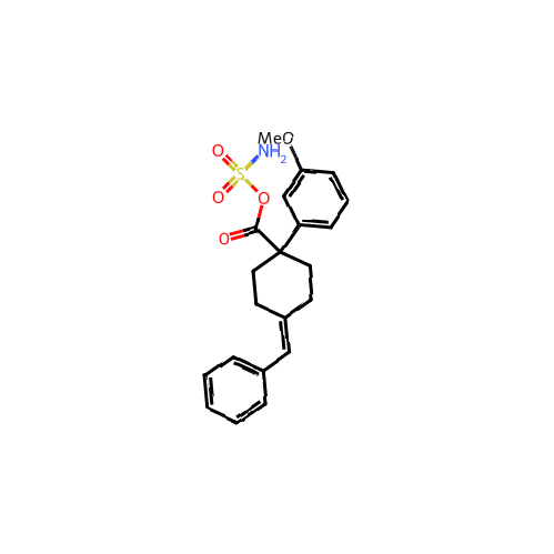 COc1cccc(C2(C(=O)OS(N)(=O)=O)CCC(=Cc3ccccc3)CC2)c1